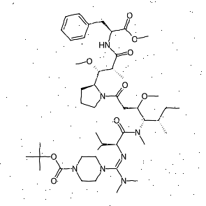 CC[C@H](C)[C@@H]([C@@H](CC(=O)N1CCC[C@H]1[C@H](OC)[C@@H](C)C(=O)N[C@@H](Cc1ccccc1)C(=O)OC)OC)N(C)C(=O)[C@@H](N=C(N(C)C)N1CCN(C(=O)OC(C)(C)C)CC1)C(C)C